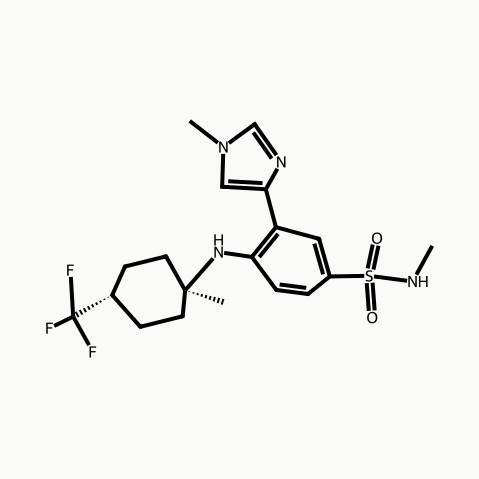 CNS(=O)(=O)c1ccc(N[C@]2(C)CC[C@@H](C(F)(F)F)CC2)c(-c2cn(C)cn2)c1